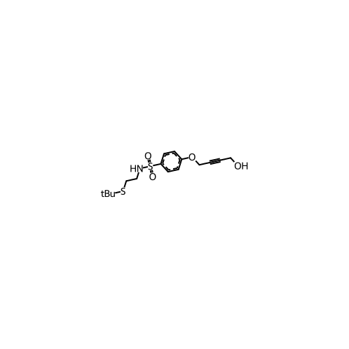 CC(C)(C)SCCNS(=O)(=O)c1ccc(OCC#CCO)cc1